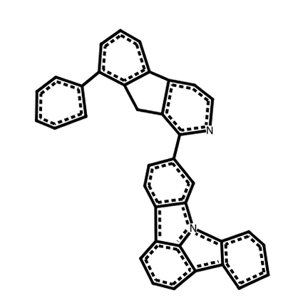 c1ccc(-c2cccc3c2Cc2c-3ccnc2-c2ccc3c4cccc5c6ccccc6n(c3c2)c54)cc1